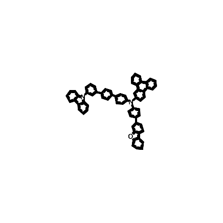 c1cc(-c2ccc(-c3ccc(N(c4ccc(-c5ccc6c(c5)oc5ccccc56)cc4)c4ccc5c6ccccc6c6ccccc6c5c4)cc3)cc2)cc(-n2c3ccccc3c3ccccc32)c1